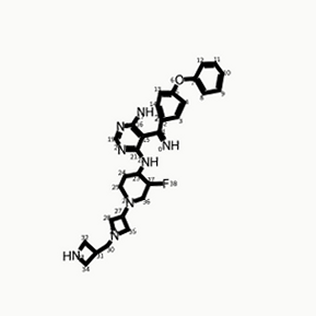 N=C(c1ccc(Oc2ccccc2)cc1)c1c(N)ncnc1NC1CCN(C2CN(CC3CNC3)C2)CC1F